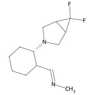 C/N=C/C1CCCC[C@@H]1N1CC2C(C1)C2(F)F